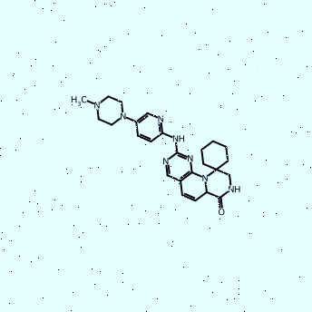 CN1CCN(c2ccc(Nc3ncc4c(n3)N3C(C=C4)C(=O)NCC34CCCCC4)nc2)CC1